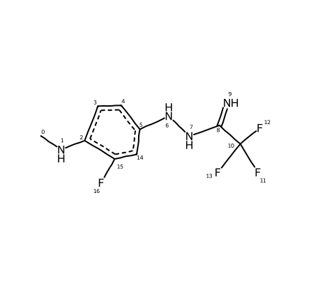 CNc1ccc(NNC(=N)C(F)(F)F)cc1F